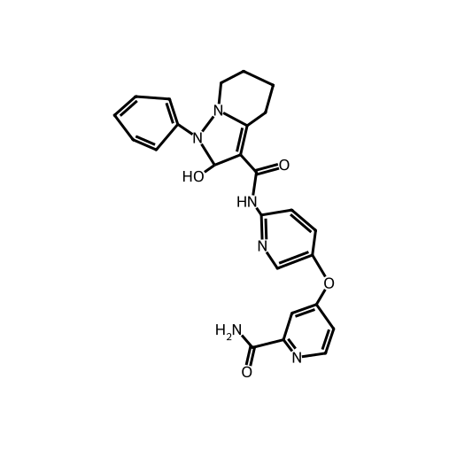 NC(=O)c1cc(Oc2ccc(NC(=O)C3=C4CCCCN4N(c4ccccc4)C3O)nc2)ccn1